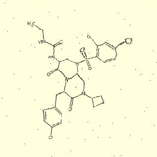 CCNC(=O)NC1CN(S(=O)(=O)c2ccc(Cl)cc2Cl)C2CN(C3CCC3)C(=O)C(Cc3ccc(Cl)cc3)N2C1=O